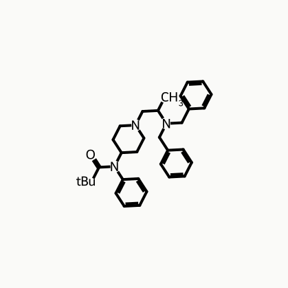 CC(CN1CCC(N(C(=O)C(C)(C)C)c2ccccc2)CC1)N(Cc1ccccc1)Cc1ccccc1